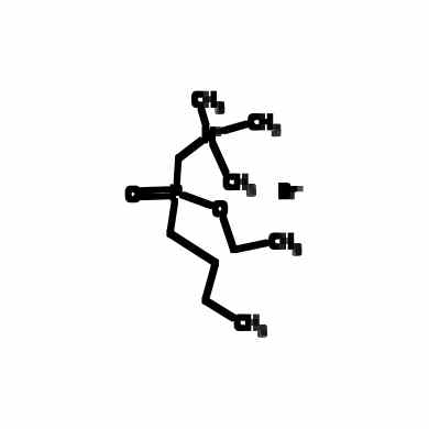 CCCCP(=O)(C[N+](C)(C)C)OCC.[Br-]